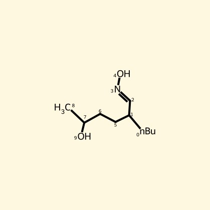 CCCCC(C=NO)CCC(C)O